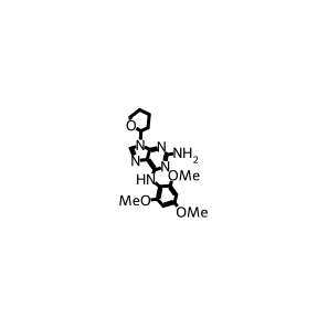 COc1cc(OC)c(Nc2nc(N)nc3c2ncn3C2CCCCO2)c(OC)c1